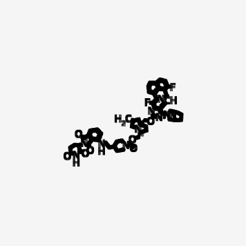 C#Cc1c(F)ccc2cccc(-c3ncc4c(N5CC6CCC(C5)N6)nc(OC[C@@]56CC[C@@H](COC(=O)N7CCC(CCNc8cccc9c8C(=O)N(C8CCC(=O)NC8=O)C9=O)CC7)N5CC(=C)C6)nc4c3F)c12